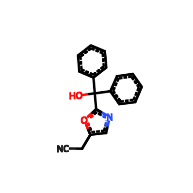 N#CCc1cnc(C(O)(c2ccccc2)c2ccccc2)o1